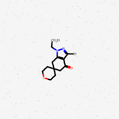 CCOC(=O)Cn1nc(CC)c2c1CC1(CCOCC1)CC2=O